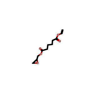 C=COC(=O)CCCCC(=O)OCC1CO1